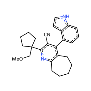 COCC1(c2nc3c(c(-c4cccc5[nH]ccc45)c2C#N)CCCCC3)CCCC1